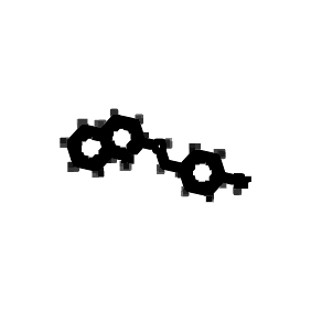 Brc1ccc(COc2ccc3ccccc3n2)cc1